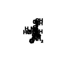 Cl.NC(=O)C(O)C(CCCCNC(=O)O)NC(=O)[C@@H]1C2CCC(C2)N1C(=O)C(N)CC1CCCCC1